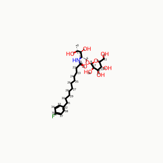 C[C@@H](O)[C@@H](O)[C@H](CO[C@H]1OC(CO)[C@H](O)C(O)C1O)NC(=O)CCCCCCCCCCc1ccc(F)cc1